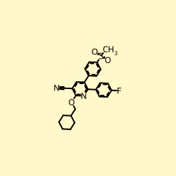 CS(=O)(=O)c1ccc(-c2cc(C#N)c(OCC3CCCCC3)nc2-c2ccc(F)cc2)cc1